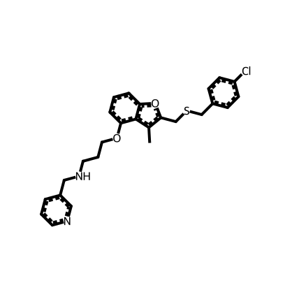 Cc1c(CSCc2ccc(Cl)cc2)oc2cccc(OCCCNCc3cccnc3)c12